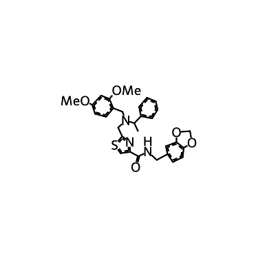 COc1ccc(CN(Cc2nc(C(=O)NCc3ccc4c(c3)OCO4)cs2)C(C)c2ccccc2)c(OC)c1